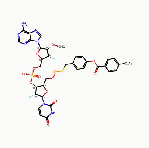 COc1ccc(C(=O)Oc2ccc(CSPOC[C@H]3O[C@@H](n4ccc(=O)[nH]c4=O)[C@H](F)[C@@H]3OP(=O)(O)OC[C@H]3O[C@@H](n4cnc5c(N)ncnc54)[C@H](OC=O)[C@@H]3F)cc2)cc1